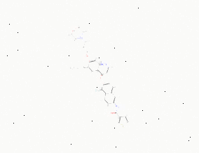 COc1cc2c(Oc3ccc4cc(NC(=O)c5ccsc5)ccc4c3F)ccnc2cc1OCCCN1CCOCC1